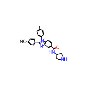 Cc1ccc(-n2c(-c3ccc(C#N)cc3)nc3cc(C(=O)NC4CCNCC4)ccc32)cc1